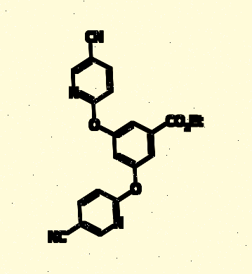 CCOC(=O)c1cc(Oc2ccc(C#N)cn2)cc(Oc2ccc(C#N)cn2)c1